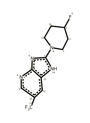 FC1CCN(c2nc3ncc(C(F)(F)F)cc3[nH]2)CC1